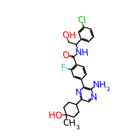 CC1(O)CCC(c2cnc(N)c(-c3ccc(C(=O)NC(CO)c4cccc(Cl)c4)c(F)c3)n2)CC1